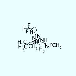 C=N/C=N\C=C(/C)Nc1nc(NCC(C)(C)C)nc(-c2cccc(C(F)(F)F)n2)n1